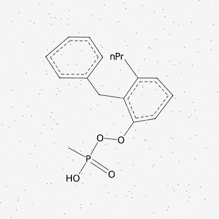 CCCc1cccc(OOP(C)(=O)O)c1Cc1ccccc1